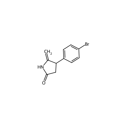 C=C1NC(=O)CC1c1ccc(Br)cc1